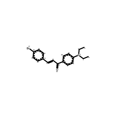 CCN(CC)c1ccc(C(=O)C=Cc2ccc(Br)cc2)cc1